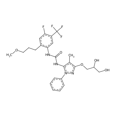 COCCCc1cc(F)c(C(F)(F)F)cc1NC(=O)Nc1c(C)c(OCC(O)CO)nn1-c1ccccc1